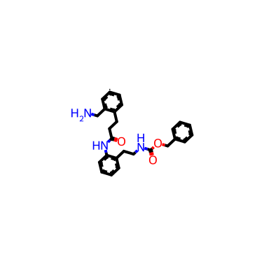 NCc1c[c]ccc1CCC(=O)Nc1ccccc1CCNC(=O)OCc1ccccc1